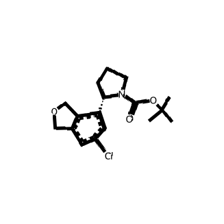 CC(C)(C)OC(=O)N1CCC[C@H]1c1cc(Cl)cc2c1COC2